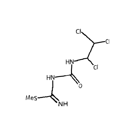 CSC(=N)NC(=O)NC(Cl)C(Cl)Cl